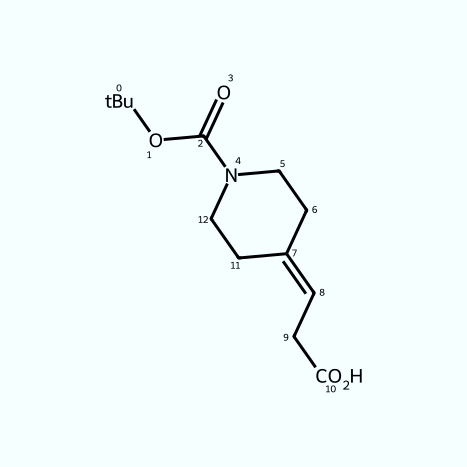 CC(C)(C)OC(=O)N1CCC(=CCC(=O)O)CC1